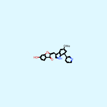 COc1cc(-c2cccnc2)c2[nH]cc(C=C3Oc4cc(O)ccc4C3=O)c2c1